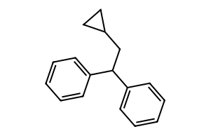 c1ccc(C(CC2CC2)c2ccccc2)cc1